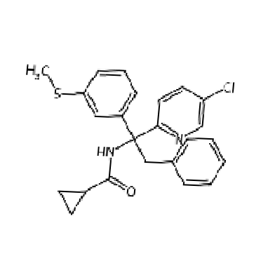 CSc1cccc(C(Cc2ccccc2)(NC(=O)C2CC2)c2ccc(Cl)cn2)c1